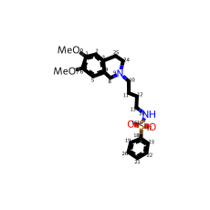 COc1cc2c(cc1OC)CN(CCCCNS(=O)(=O)c1ccccc1)CC2